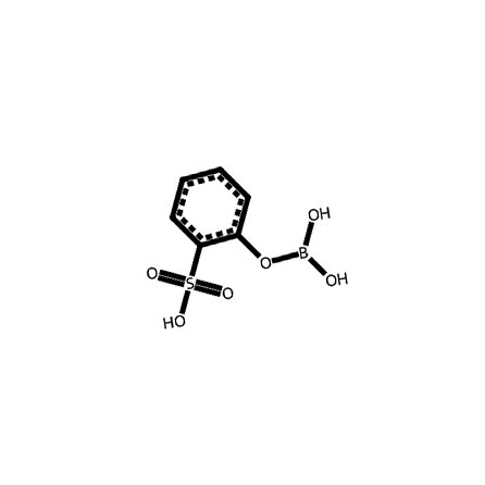 O=S(=O)(O)c1ccccc1OB(O)O